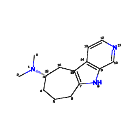 CN(C)[C@H]1CCCc2[nH]c3cnccc3c2C1